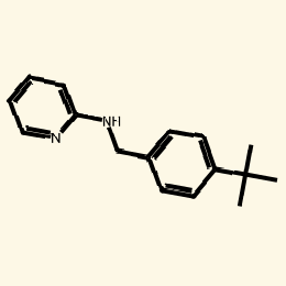 CC(C)(C)c1ccc(CNc2ccccn2)cc1